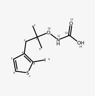 CC(C)(Cc1ccsc1I)ONC(=O)O